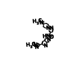 CN1CC2(CCN(c3cc(C(=O)Nc4cc5cc(-c6cnn(C)c6)cnc5cn4)ccn3)CC2)C1